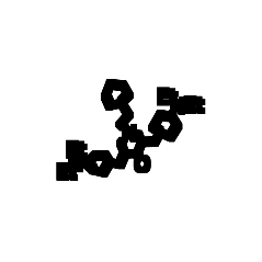 CCN(CC)c1ccc(C=C2CN(CCc3ccccc3)CC(=Cc3ccc(N(CC)CC)cc3)C2=O)cc1